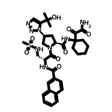 CC(C)(O)c1cnnn1[C@H]1C[C@@H](C(=O)NC2(C(=O)C(N)=O)CCCCC2)N(C(=O)[C@@H](CNS(C)(=O)=O)NC(=O)c2ccc3ccccc3c2)C1